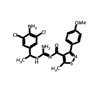 COc1ccc(-c2nsc(C)c2C(=O)/N=C(\N)NC(C)c2cc(Cl)c(N)c(Cl)c2)cc1